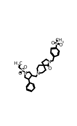 CCS(=O)(=O)N1CC(CN2CCC3(CC2)CCN(Cc2ccc(S(C)(=O)=O)cc2)C3=O)C(c2ccccc2)C1